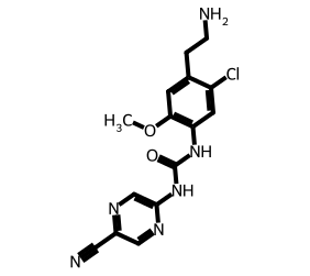 COc1cc(CCN)c(Cl)cc1NC(=O)Nc1cnc(C#N)cn1